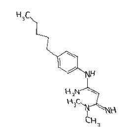 CCCCCc1ccc(N/C(N)=C/C(=N)N(C)C)cc1